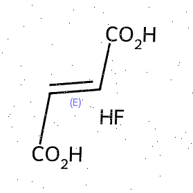 F.O=C(O)/C=C/C(=O)O